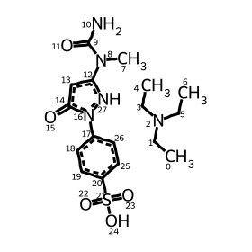 CCN(CC)CC.CN(C(N)=O)c1cc(=O)n(-c2ccc(S(=O)(=O)O)cc2)[nH]1